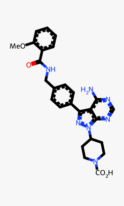 COc1ccccc1C(=O)NCc1ccc(-c2nn(C3CCN(C(=O)O)CC3)c3ncnc(N)c23)cc1